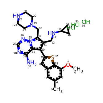 COc1cc(C)cc2cc(-c3c(CNC4CC4)c(CN4CCNCC4)n4ncnc(N)c34)sc12.Cl.Cl.Cl